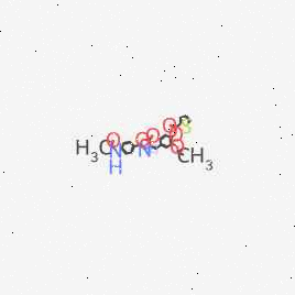 CCOc1cc(/C=C2/N=C(c3ccc(NC(C)=O)cc3)OC2=O)ccc1OC(=O)c1cccs1